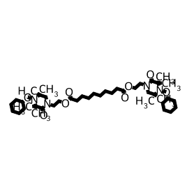 CC1(C)CN(CCOC(=O)CCCCCCCCC(=O)OCCN2CC(C)(C)N(OC3CCCCC3)C(C)(C)C2=O)C(=O)C(C)(C)N1OC1CCCCC1